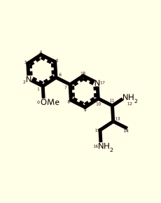 COc1ncccc1-c1ccc(C(N)C(C)CN)nc1